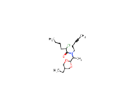 CC#CCCN(C(=O)C(Cl)CCCC)C(C)C1OCC(CC)CO1